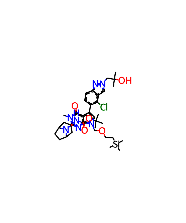 Cn1c(N2C3CCC2CC(NC(=O)OC(C)(C)C)C3)nc2c(c(-c3ccc4nn(CC(C)(C)O)cc4c3Cl)cn2COCC[Si](C)(C)C)c1=O